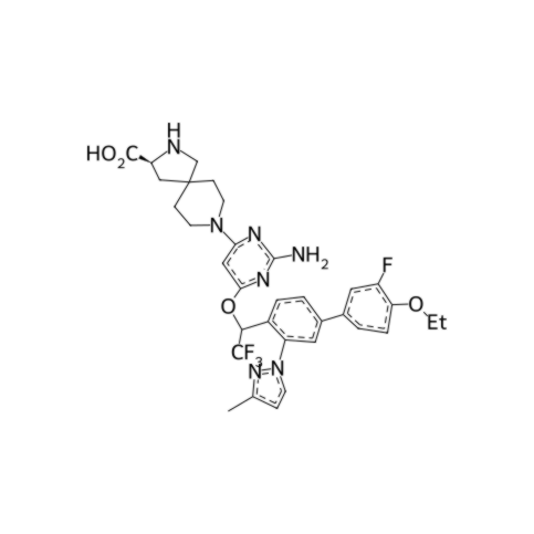 CCOc1ccc(-c2ccc(C(Oc3cc(N4CCC5(CC4)CN[C@H](C(=O)O)C5)nc(N)n3)C(F)(F)F)c(-n3ccc(C)n3)c2)cc1F